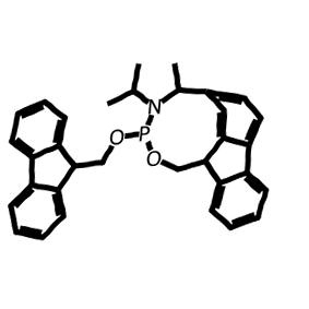 CC(C)N1C(C)c2ccc3c(c2)C(COP1OCC1c2ccccc2-c2ccccc21)c1ccccc1-3